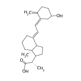 C=C1CCC(O)CC1=CC=C1CCC[C@@]2(C)C1CCC2[C@H](C)C(=O)O